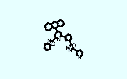 c1cncc(-c2nnc(-c3cccc(-c4cc(-c5c6ccccc6cc6ccccc56)cc(-c5nc6ccccc6o5)n4)c3)o2)c1